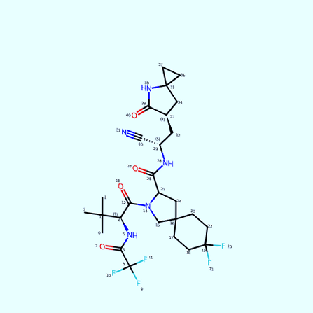 CC(C)(C)[C@H](NC(=O)C(F)(F)F)C(=O)N1CC2(CCC(F)(F)CC2)CC1C(=O)N[C@H](C#N)C[C@@H]1CC2(CC2)NC1=O